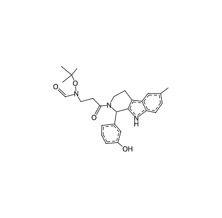 Cc1ccc2[nH]c3c(c2c1)CCN(C(=O)CCN(C=O)OC(C)(C)C)C3c1cccc(O)c1